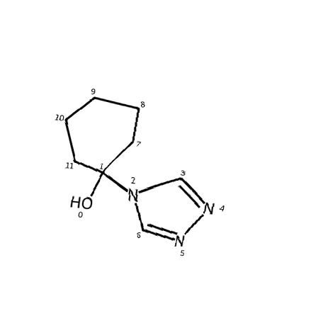 OC1(n2cnnc2)CCCCC1